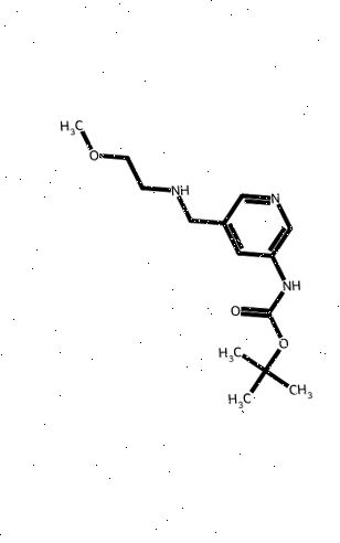 COCCNCc1cncc(NC(=O)OC(C)(C)C)c1